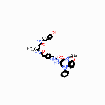 CC(C)(C)C(=O)CN1C(=O)[C@H](NC(=O)NCc2ccc(CC(=O)N[C@H](CCC(=O)N[C@@H](Cc3ccc(O)cc3)C(=O)O)C(=O)O)cc2)CN(C2CCCCC2)c2ccccc21